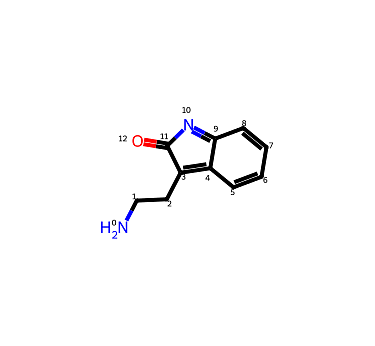 NCCC1=c2ccccc2=NC1=O